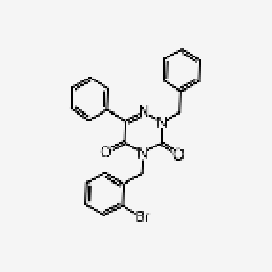 O=c1c(-c2ccccc2)nn(Cc2ccccc2)c(=O)n1Cc1ccccc1Br